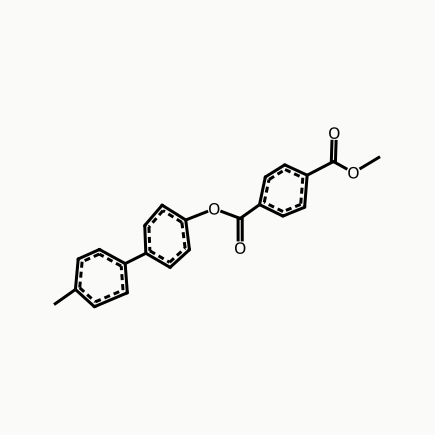 COC(=O)c1ccc(C(=O)Oc2ccc(-c3ccc(C)cc3)cc2)cc1